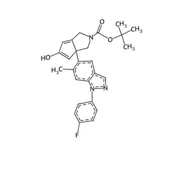 Cc1cc2c(cnn2-c2ccc(F)cc2)cc1C12C=C(O)C=C1CN(C(=O)OC(C)(C)C)C2